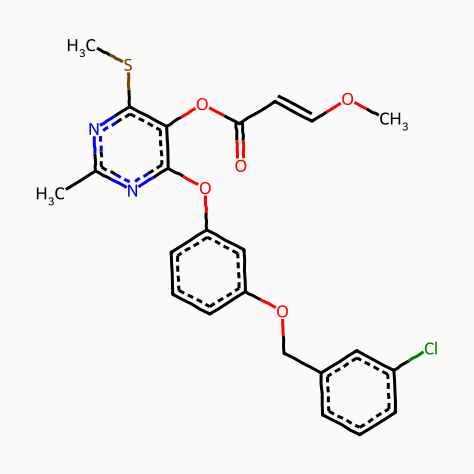 COC=CC(=O)Oc1c(Oc2cccc(OCc3cccc(Cl)c3)c2)nc(C)nc1SC